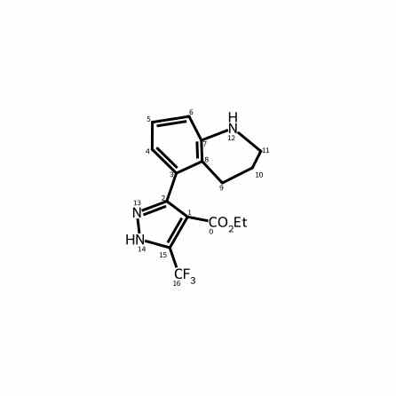 CCOC(=O)c1c(-c2cccc3c2CCCN3)n[nH]c1C(F)(F)F